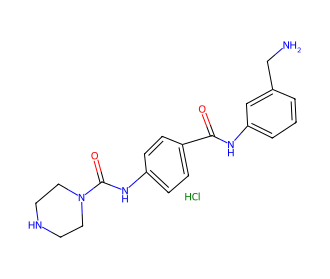 Cl.NCc1cccc(NC(=O)c2ccc(NC(=O)N3CCNCC3)cc2)c1